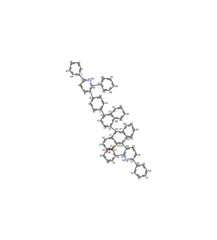 c1ccc(-c2ccc(-c3ccc(-c4ccc(-c5c6ccccc6c(-c6ccc(-c7ccccc7)nc6-c6ccccc6)c6ccccc56)c5ccccc45)cc3)c(-c3ccccc3)n2)cc1